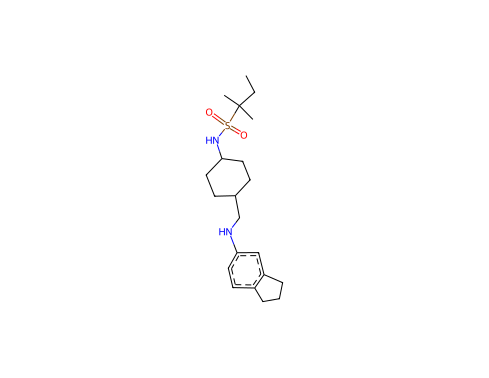 CCC(C)(C)S(=O)(=O)NC1CCC(CNc2ccc3c(c2)CCC3)CC1